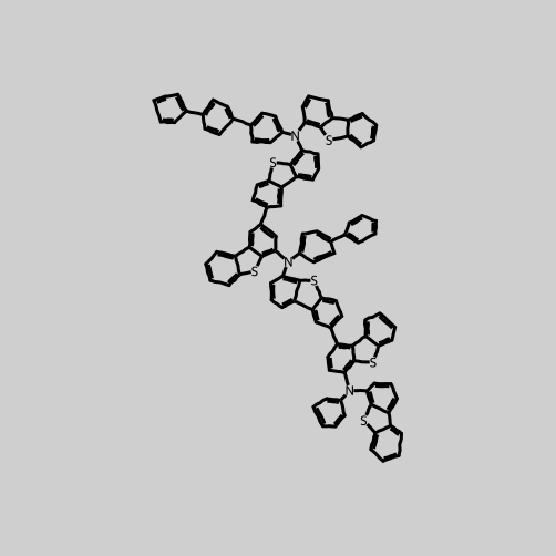 c1ccc(-c2ccc(-c3ccc(N(c4cccc5c4sc4ccccc45)c4cccc5c4sc4ccc(-c6cc(N(c7ccc(-c8ccccc8)cc7)c7cccc8c7sc7ccc(-c9ccc(N(c%10ccccc%10)c%10cccc%11c%10sc%10ccccc%10%11)c%10sc%11ccccc%11c9%10)cc78)c7sc8ccccc8c7c6)cc45)cc3)cc2)cc1